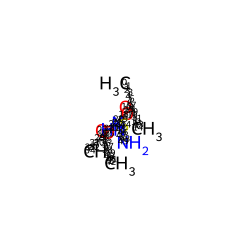 CCCCCCCCC(CCCCCC)C(=O)OCCCN(CCCOC(=O)C(CCCCCC)CCCCCCCC)C(=S)NCCCN